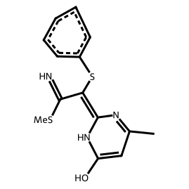 CSC(=N)/C(Sc1ccccc1)=C1/N=C(C)C=C(O)N1